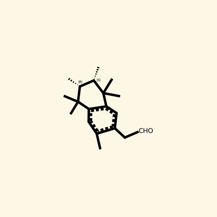 Cc1cc2c(cc1CC=O)C(C)(C)[C@@H](C)[C@@H](C)C2(C)C